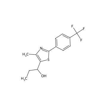 CCC(O)c1sc(-c2ccc(C(F)(F)F)cc2)nc1C